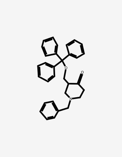 O=C1CCN(Cc2ccccc2)CC1COC(c1ccccc1)(c1ccccc1)c1ccccc1